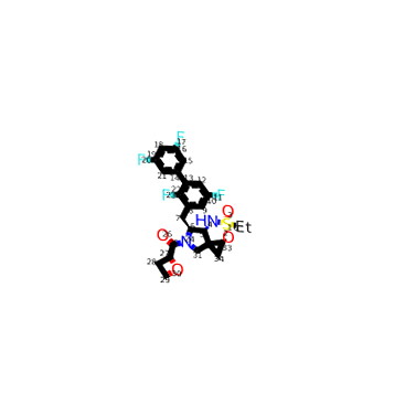 CCS(=O)(=O)N[C@@H]1[C@H](Cc2cc(F)cc(-c3cc(F)cc(F)c3)c2F)N(C(=O)C2CCO2)CC12CC2